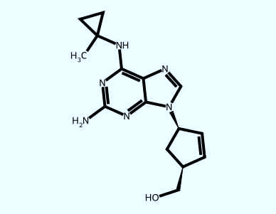 CC1(Nc2nc(N)nc3c2ncn3[C@H]2C=C[C@@H](CO)C2)CC1